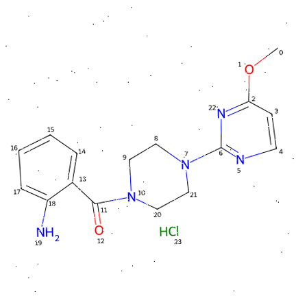 COc1ccnc(N2CCN(C(=O)c3ccccc3N)CC2)n1.Cl